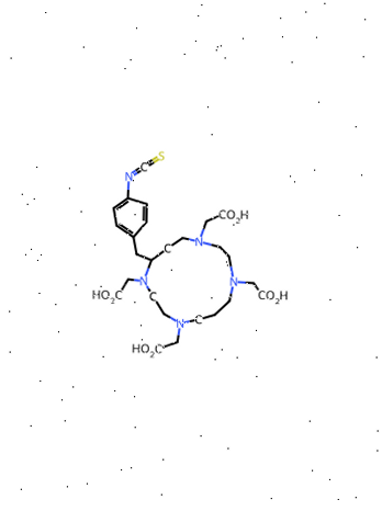 O=C(O)CN1CCCN(CC(=O)O)CCN(CC(=O)O)C(Cc2ccc(N=C=S)cc2)CCN(CC(=O)O)CC1